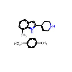 Cc1ccc(S(=O)(=O)O)cc1.Cc1cccc2cc(C3=CCNCC3)[nH]c12